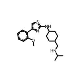 COc1ccccc1-c1csc(NC2CCC(CNC(C)C)CC2)n1